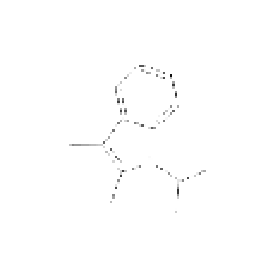 Cc1c(C)n(C(C)C)c2ccccc12